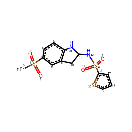 CCCS(=O)(=O)c1ccc2c(c1)CC(NS(=O)(=O)c1cccs1)N2